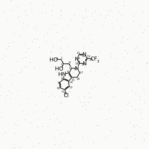 OC[C@H](O)C[C@@H]1c2[nH]c3ccc(Cl)cc3c2CCN1c1ncnc(C(F)(F)F)n1